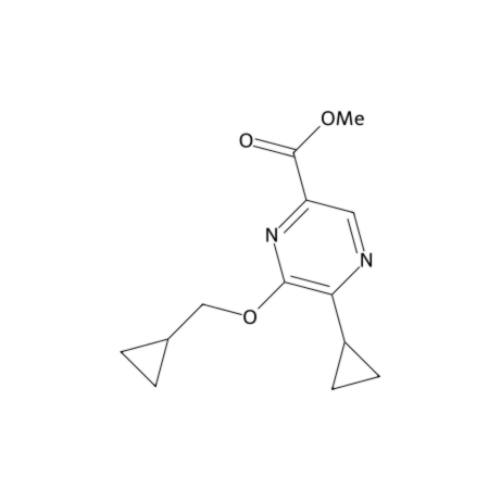 COC(=O)c1cnc(C2CC2)c(OCC2CC2)n1